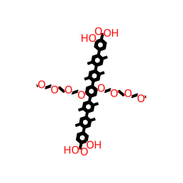 COCCOCCOCCOc1cc(-c2cc(C)c(-c3cc(C)c(-c4ccc(C(=O)O)c(O)c4)cc3C)cc2C)c(OCCOCCOCCOC)cc1-c1cc(C)c(-c2cc(C)c(-c3ccc(C(=O)O)c(O)c3)cc2C)cc1C